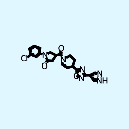 O=C(C1CC(=O)N(c2cccc(Cl)c2)C1)N1CCC(c2nc(-c3cn[nH]c3)no2)CC1